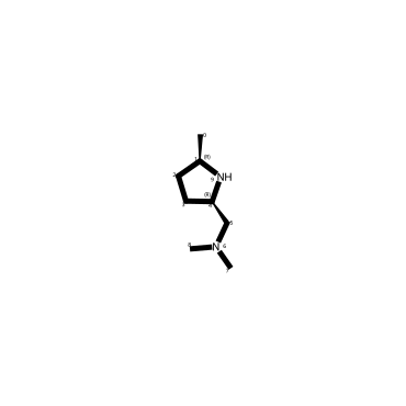 C[C@@H]1CC[C@H](CN(C)C)N1